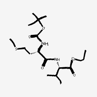 CCOC(=O)[C@@H](NC(=O)[C@H](CCSC)NC(=O)OC(C)(C)C)C(C)C